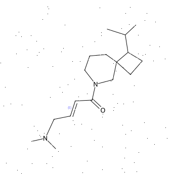 CC(C)C1CCC12CCCN(C(=O)/C=C/CN(C)C)C2